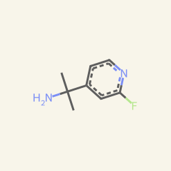 CC(C)(N)c1ccnc(F)c1